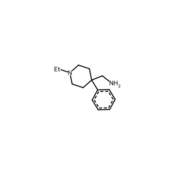 CCN1CCC(CN)(c2ccccc2)CC1